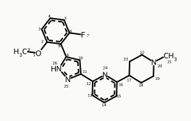 COc1cccc(F)c1-c1cc(-c2cccc(C3CCN(C)CC3)n2)n[nH]1